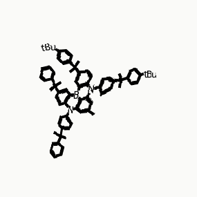 Cc1cc2c3c(c1)N(c1ccc(C(C)(C)c4ccc(C(C)(C)C)cc4)cc1)c1ccc(C(C)(C)c4ccc(C(C)(C)C)cc4)cc1B3c1cc(C(C)(C)c3ccccc3)ccc1N2c1ccc(C(C)(C)c2ccccc2)cc1